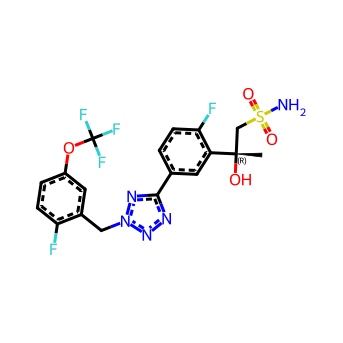 C[C@](O)(CS(N)(=O)=O)c1cc(-c2nnn(Cc3cc(OC(F)(F)F)ccc3F)n2)ccc1F